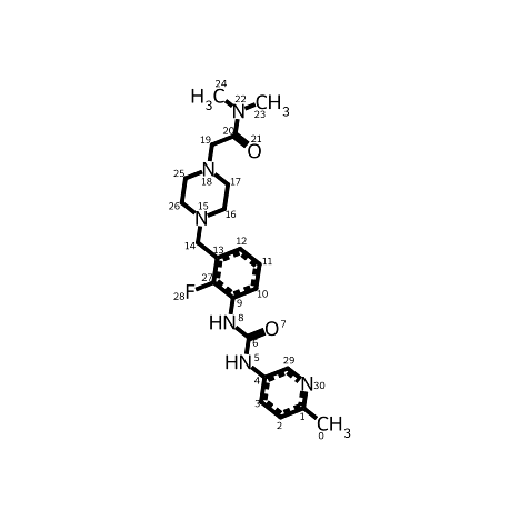 Cc1ccc(NC(=O)Nc2cccc(CN3CCN(CC(=O)N(C)C)CC3)c2F)cn1